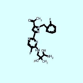 CC(=O)c1cc(-c2ncc(F)c(NCC(C)(O)C(N)O)n2)nn1Cc1ccccc1F